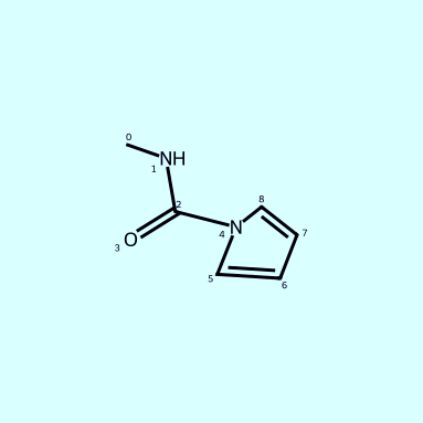 CNC(=O)n1cccc1